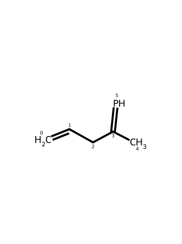 C=CCC(C)=P